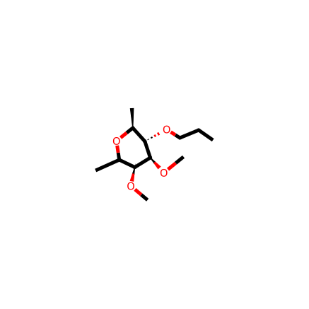 CCCO[C@@H]1[C@@H](OC)[C@@H](OC)C(C)O[C@H]1C